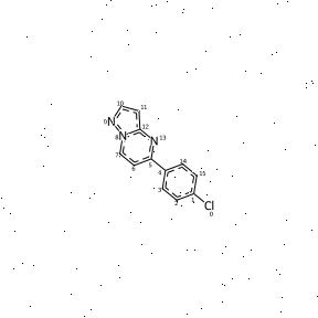 Clc1ccc(-c2c[c]n3nccc3n2)cc1